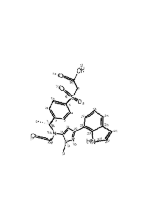 C[C@H](c1ccc(S(=O)(=O)CC(=O)O)cc1)N(C=O)c1cc(-c2cccc3cc[nH]c23)nn1C